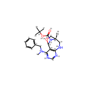 CN(Cc1ccccc1)c1ncnc2c1C1OC[C@H](CN2)N1C(=O)OC(C)(C)C